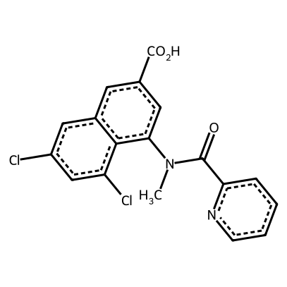 CN(C(=O)c1ccccn1)c1cc(C(=O)O)cc2cc(Cl)cc(Cl)c12